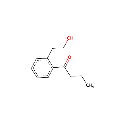 CCCC(=O)c1ccccc1CCO